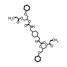 C=CC(=O)OCC(COc1ccccc1)OC(=O)NCC1CCC(CNC(=O)OC(COC(=O)C=C)COc2ccccc2)CC1